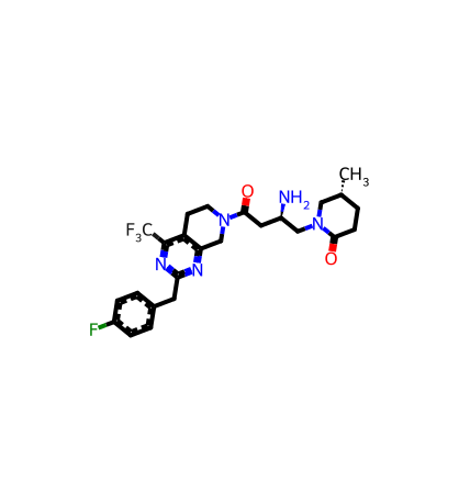 C[C@@H]1CCC(=O)N(C[C@H](N)CC(=O)N2CCc3c(nc(Cc4ccc(F)cc4)nc3C(F)(F)F)C2)C1